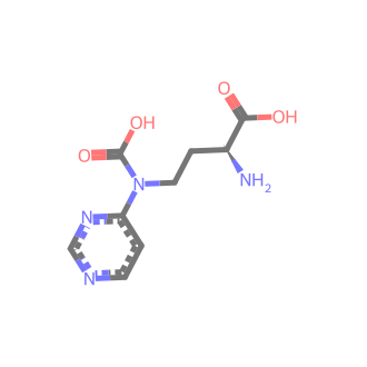 N[C@@H](CCN(C(=O)O)c1ccncn1)C(=O)O